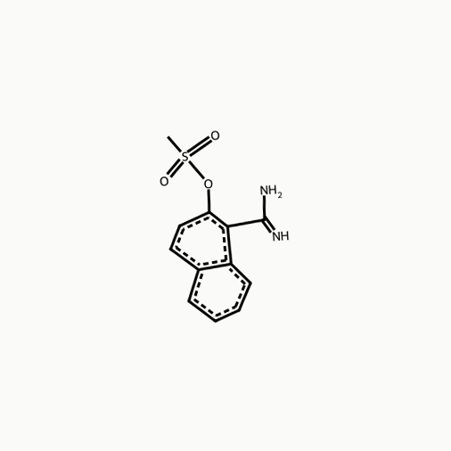 CS(=O)(=O)Oc1ccc2ccccc2c1C(=N)N